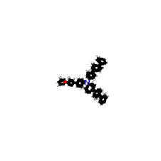 C1=CC(N(c2ccc(-c3ccc(-c4ccccc4)cc3)cc2)c2ccc(-c3ccc(-c4ccccc4)cc3)cc2)=CCC=C1c1ccc(-c2ccccc2)cc1